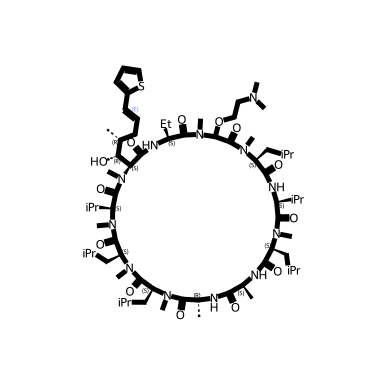 CC[C@@H]1NC(=O)[C@H]([C@H](O)[C@H](C)C/C=C/c2cccs2)N(C)C(=O)[C@H](C(C)C)N(C)C(=O)[C@H](CC(C)C)N(C)C(=O)[C@H](CC(C)C)N(C)C(=O)[C@@H](C)NC(=O)[C@H](C)NC(=O)[C@H](CC(C)C)N(C)C(=O)[C@H](C(C)C)NC(=O)[C@H](CC(C)C)N(C)C(=O)C(OCCN(C)C)N(C)C1=O